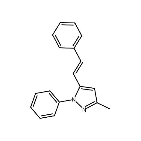 Cc1cc(C=Cc2ccccc2)n(-c2ccccc2)n1